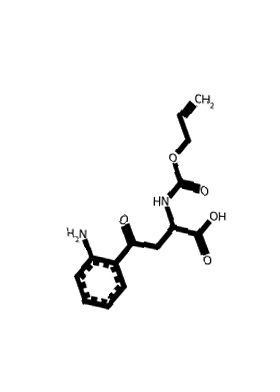 C=CCOC(=O)NC(CC(=O)c1ccccc1N)C(=O)O